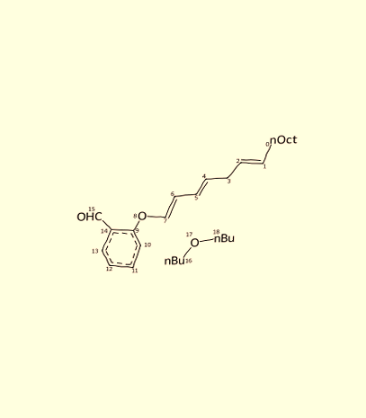 CCCCCCCCC=CCC=CC=COc1ccccc1C=O.CCCCOCCCC